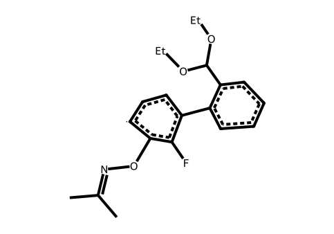 CCOC(OCC)c1ccccc1-c1cc[c]c(ON=C(C)C)c1F